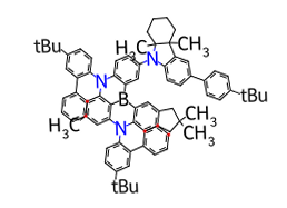 Cc1cc2c3c(c1)N(c1ccc(C(C)(C)C)cc1-c1ccccc1)c1cc4c(cc1B3c1cc(N3c5ccc(-c6ccc(C(C)(C)C)cc6)cc5C5(C)CCCCC35C)ccc1N2c1ccc(C(C)(C)C)cc1-c1ccccc1)CC(C)(C)C4